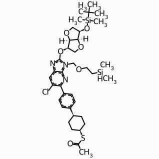 CC(=O)S[C@H]1CC[C@@H](c2ccc(-c3nc4c(cc3Cl)nc(O[C@@H]3CO[C@H]5[C@@H]3OC[C@H]5O[Si](C)(C)C(C)(C)C)n4COCC[SiH](C)C)cc2)CC1